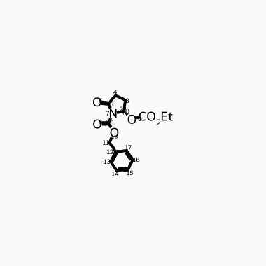 CCOC(=O)O[C@@H]1CCC(=O)N1C(=O)OCc1ccccc1